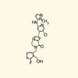 Cn1nccc1Nc1cc(-c2cc3n(c2)CCN(Cc2cccc(F)c2CO)C3=O)c(Cl)cn1